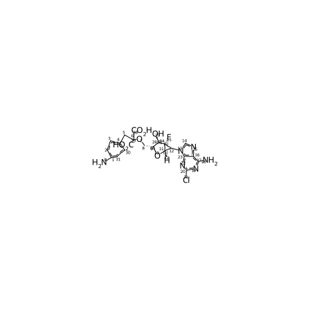 Nc1ccc(CC(OC[C@H]2O[C@H]3C(n4cnc5c(N)nc(Cl)nc54)[C@]3(F)[C@@H]2O)(C(=O)O)C(=O)O)cc1